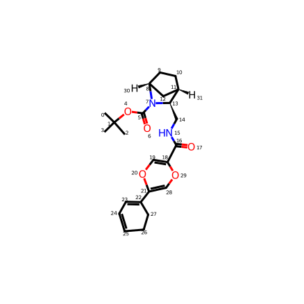 CC(C)(C)OC(=O)N1[C@@H]2CC[C@@H](C2)[C@H]1CNC(=O)C1=COC(C2=CC=CCC2)=CO1